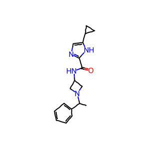 CC(c1ccccc1)N1CC(NC(=O)c2ncc(C3CC3)[nH]2)C1